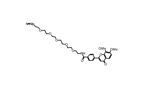 COc1ccc2c(=O)cc(-c3ccc(C(=O)NCCOCCOCCOCCOCCOCCN=[N+]=[N-])cc3)oc2c1OC